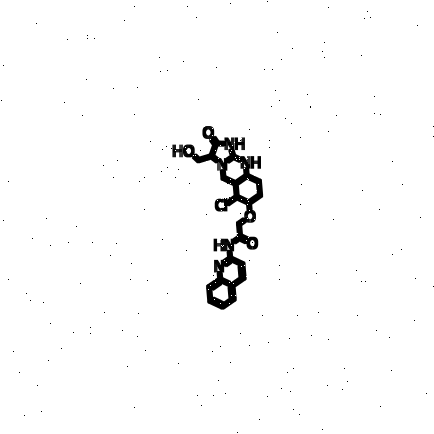 O=C(COC1CCC2NC3NC(=O)C(CO)N3CC2C1Cl)Nc1ccc2ccccc2n1